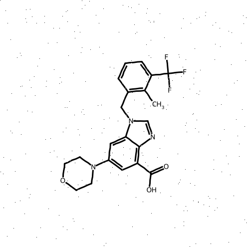 Cc1c(Cn2cnc3c(C(=O)O)cc(N4CCOCC4)cc32)cccc1C(F)(F)F